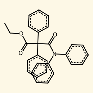 CCOC(=O)C(C(=O)N(c1ccccc1)c1ccccc1)(c1ccccc1)c1ccccc1